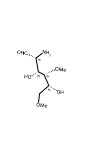 COC[C@@H](O)[C@@H](OC)[C@H](O)[C@@H](N)C=O